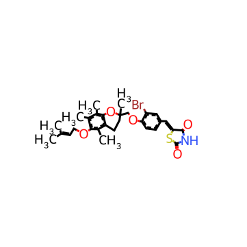 CC(C)=CCOc1c(C)c(C)c2c(c1C)CCC(C)(COc1ccc(/C=C3\SC(=O)NC3=O)cc1Br)O2